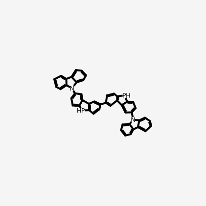 c1ccc2c(c1)c1ccccc1n2-c1ccc2[pH]c3ccc(-c4ccc5[pH]c6ccc(-n7c8ccccc8c8ccccc87)cc6c5c4)cc3c2c1